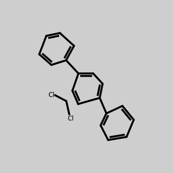 ClCCl.c1ccc(-c2ccc(-c3ccccc3)cc2)cc1